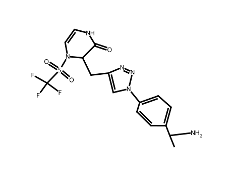 CC(N)c1ccc(-n2cc(CC3C(=O)NC=CN3S(=O)(=O)C(F)(F)F)nn2)cc1